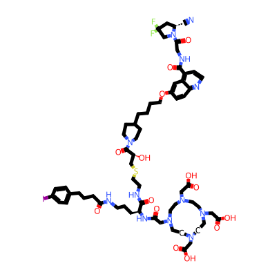 N#C[C@H]1CC(F)(F)CN1C(=O)CNC(=O)c1ccnc2ccc(OCCCCC3CCN(C(=O)[C@H](O)CSCCNC(=O)[C@H](CCCNC(=O)CCCc4ccc(I)cc4)NC(=O)CN4CCN(CC(=O)O)CCN(CC(=O)O)CCN(CC(=O)O)CC4)CC3)cc12